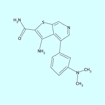 CN(C)c1cccc(-c2cncc3sc(C(N)=O)c(N)c23)c1